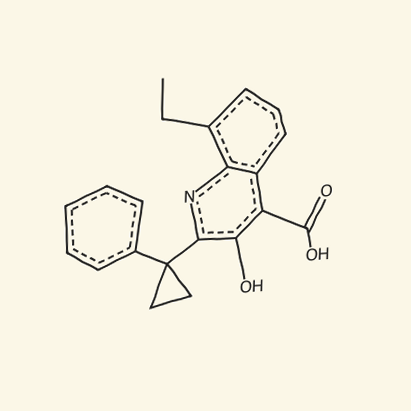 CCc1cccc2c(C(=O)O)c(O)c(C3(c4ccccc4)CC3)nc12